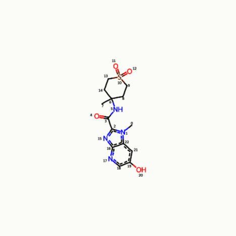 Cn1c(C(=O)NC2(C)CCS(=O)(=O)CC2)nc2ncc(O)cc21